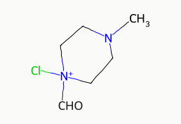 CN1CC[N+](Cl)(C=O)CC1